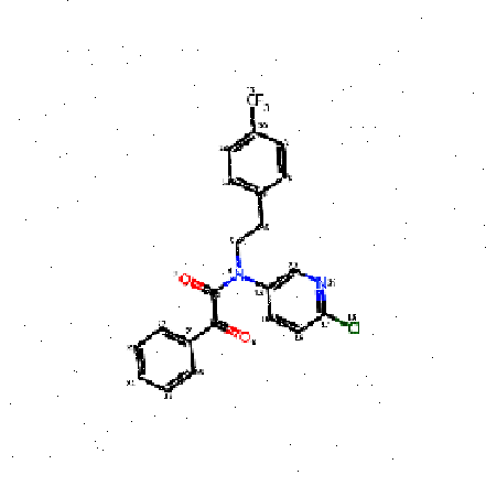 O=C(C(=O)N(CCc1ccc(C(F)(F)F)cc1)c1ccc(Cl)nc1)c1ccccc1